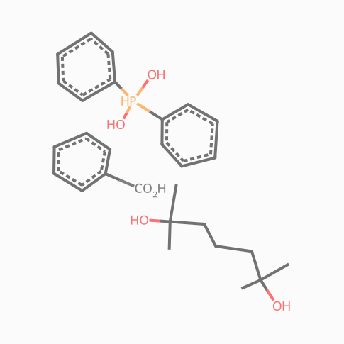 CC(C)(O)CCCC(C)(C)O.O=C(O)c1ccccc1.O[PH](O)(c1ccccc1)c1ccccc1